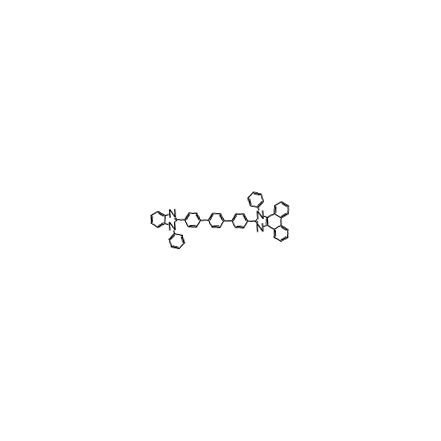 c1ccc(-n2c(-c3ccc(-c4ccc(-c5ccc(-c6nc7c8ccccc8c8ccccc8c7n6-c6ccccc6)cc5)cc4)cc3)nc3ccccc32)cc1